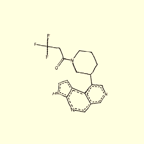 O=C(CC(F)(F)F)N1CCCC(c2cncc3cnc4[nH]ccc4c23)C1